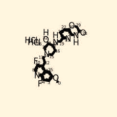 COc1cc(F)c2ncc(F)c(CCN3CC[C@H](NCc4ccc5c(n4)NC(=O)CO5)[C@@H](O)C3)c2c1.Cl.Cl